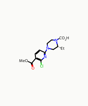 CC[C@@H]1CN(c2ccc(C(=O)OC)c(Cl)n2)CCN1C(=O)O